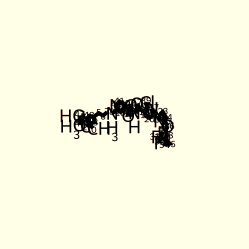 CC1(C)CC(CCCNc2cc(S(=O)(=O)NC(=O)c3ccc(-n4ccc(OCCC5(C(F)(F)F)CC5)n4)nc3Cl)ccn2)CN1C(=O)O